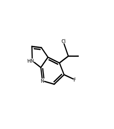 CC(Cl)c1c(F)cnc2[nH]ccc12